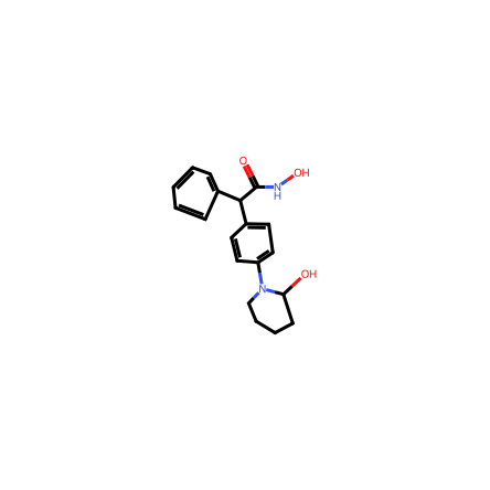 O=C(NO)C(c1ccccc1)c1ccc(N2CCCCC2O)cc1